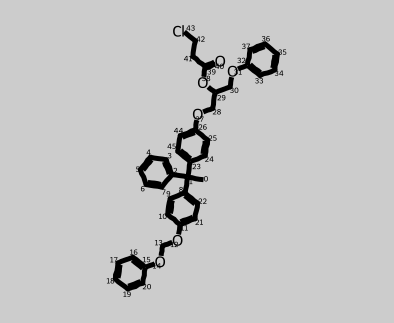 CC(c1ccccc1)(c1ccc(OCOc2ccccc2)cc1)c1ccc(OCC(COc2ccccc2)OC(=O)CCCl)cc1